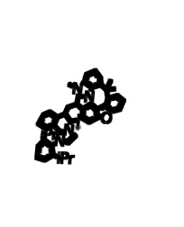 CC(C)c1cccc(C(C)C)c1-n1cc[n+]2c1-c1ccccc1C(CC1c3ccc4oc5cccc6c5c4c3N3c4c(cccc4C6(C)C)N(C)C13)C2I